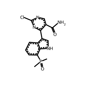 CP(C)(=O)c1cccc2c(-c3nc(Cl)ncc3C(N)=O)c[nH]c12